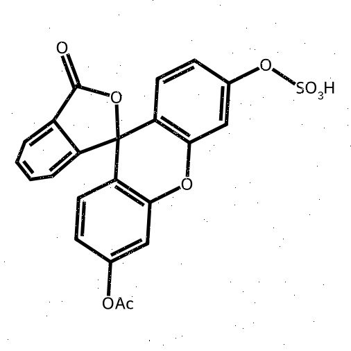 CC(=O)Oc1ccc2c(c1)Oc1cc(OS(=O)(=O)O)ccc1C21OC(=O)c2ccccc21